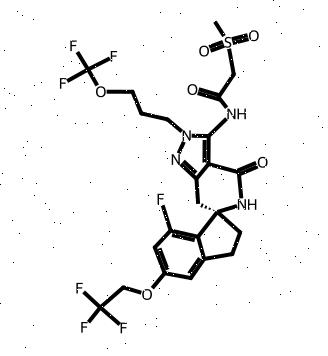 CS(=O)(=O)CC(=O)Nc1c2c(nn1CCCOC(F)(F)F)C[C@@]1(CCc3cc(OCC(F)(F)F)cc(F)c31)NC2=O